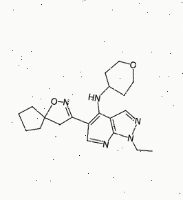 CCn1ncc2c(NC3CCOCC3)c(C3=NOC4(CCCC4)C3)cnc21